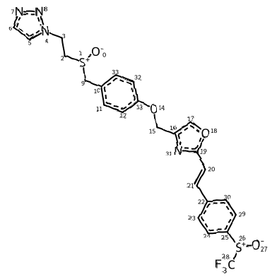 [O-][S+](CCn1ccnn1)Cc1ccc(OCc2coc(C=Cc3ccc([S+]([O-])C(F)(F)F)cc3)n2)cc1